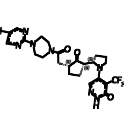 O=C1[C@@H](CC(=O)N2CCN(c3ncc(Cl)cn3)CC2)CC[C@H]1[C@@H]1CCCN1c1cn[nH]c(=O)c1C(F)(F)F